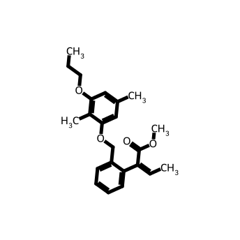 CC=C(C(=O)OC)c1ccccc1COc1cc(C)cc(OCCC)c1C